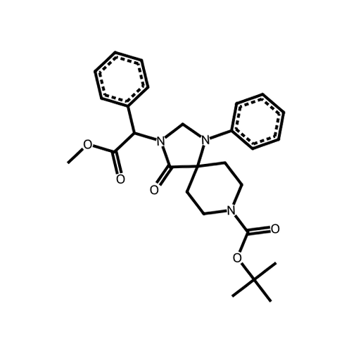 COC(=O)C(c1ccccc1)N1CN(c2ccccc2)C2(CCN(C(=O)OC(C)(C)C)CC2)C1=O